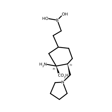 N[C@]1(C(=O)O)CC(CCB(O)O)CC[C@H]1CN1CCCC1